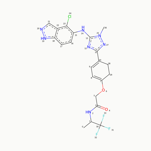 CC(NC(=O)COC1=CC=C(c2nc(Nc3ccc4[nH]ncc4c3Cl)n(C)n2)CC1)C(F)(F)F